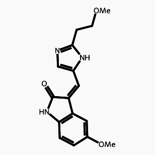 COCCc1ncc(C=C2C(=O)Nc3ccc(OC)cc32)[nH]1